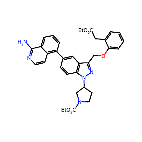 CCOC(=O)Cc1ccccc1OCc1nn(C2CCN(C(=O)OCC)C2)c2ccc(-c3cccc4c(N)nccc34)cc12